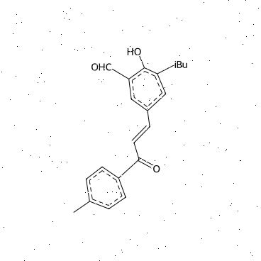 CCC(C)c1cc(C=CC(=O)c2ccc(C)cc2)cc(C=O)c1O